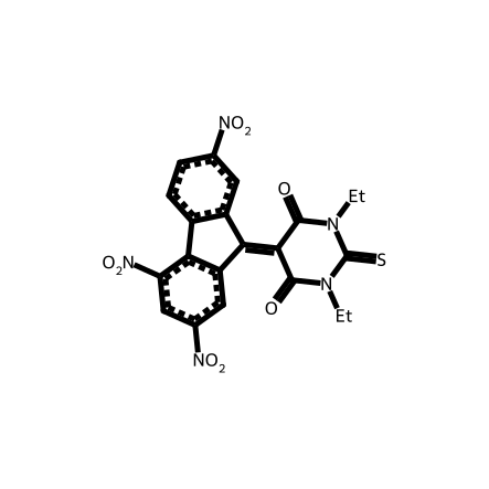 CCN1C(=O)C(=C2c3cc([N+](=O)[O-])ccc3-c3c2cc([N+](=O)[O-])cc3[N+](=O)[O-])C(=O)N(CC)C1=S